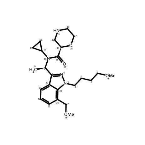 COCCCCn1nc([C@@H](C)N(C(=O)[C@H]2CNCCO2)C2CC2)c2cccc(COC)c21